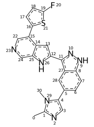 Cc1ncc(-c2ccc3[nH]nc(-c4cc5c(-c6ccc(F)s6)cncc5[nH]4)c3c2)n1C